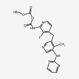 CCCCOC(=O)OC(=O)Nc1nccc(Cc2cncc(Nc3ncccn3)c2C)c1F